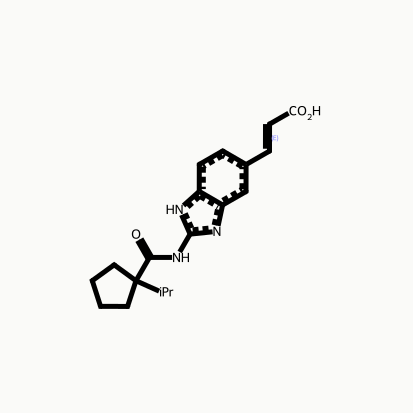 CC(C)C1(C(=O)Nc2nc3cc(/C=C/C(=O)O)ccc3[nH]2)CCCC1